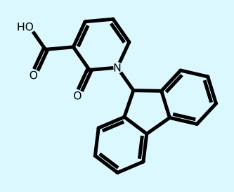 O=C(O)c1cccn(C2c3ccccc3-c3ccccc32)c1=O